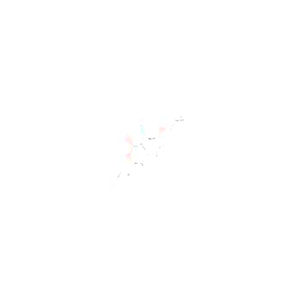 C=CCOc1ccc2cc(CC=C)oc(=O)c2c1F